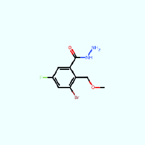 COCc1c(Br)cc(F)cc1C(=O)NN